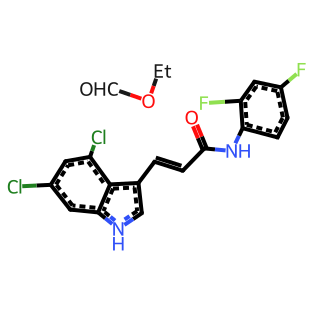 CCOC=O.O=C(C=Cc1c[nH]c2cc(Cl)cc(Cl)c12)Nc1ccc(F)cc1F